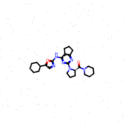 O=C([C@H]1CCCN1c1nc2c(c(Nc3ncc(C4CCCCC4)o3)n1)CCC2)N1CCCCC1